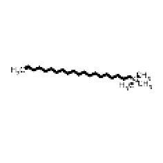 C=CCCCCCCCCCCCCCCCCCC[Si](C)(C)C